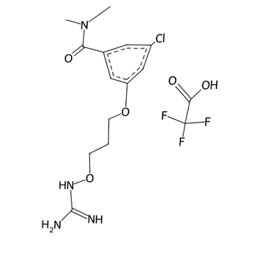 CN(C)C(=O)c1cc(Cl)cc(OCCCONC(=N)N)c1.O=C(O)C(F)(F)F